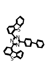 c1ccc(-c2ccc(-c3nc(-c4cccc5c4sc4ccccc45)nc(-c4cccc5sc6ccccc6c45)n3)cc2)cc1